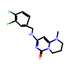 CN1CCCn2c1cc(NCc1ccc(Cl)c(F)c1)nc2=O